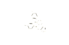 CCC1c2cn[nH]c2CC(c2ccc(Cl)cc2)N1S(=O)(=O)c1ccc(Cl)cc1